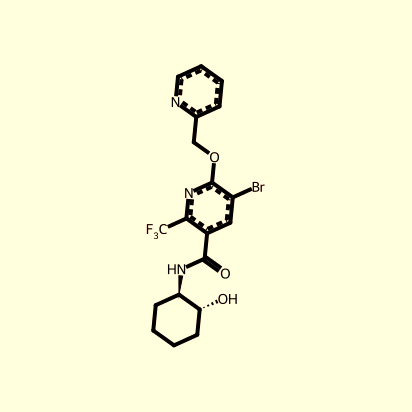 O=C(N[C@@H]1CCCC[C@H]1O)c1cc(Br)c(OCc2ccccn2)nc1C(F)(F)F